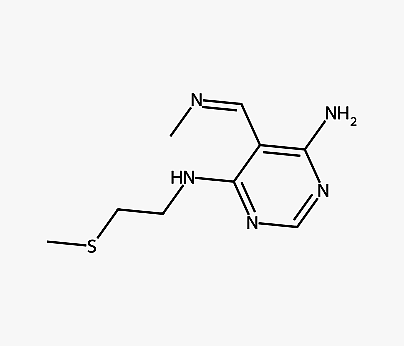 C/N=C\c1c(N)ncnc1NCCSC